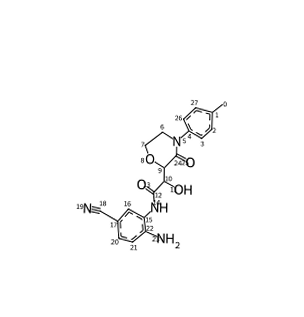 Cc1ccc(N2CCOC(C(O)C(=O)Nc3cc(C#N)ccc3N)C2=O)cc1